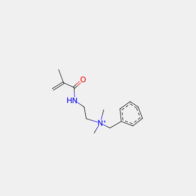 C=C(C)C(=O)NCC[N+](C)(C)Cc1ccccc1